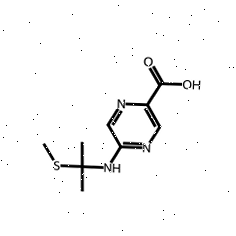 CSC(C)(C)Nc1cnc(C(=O)O)cn1